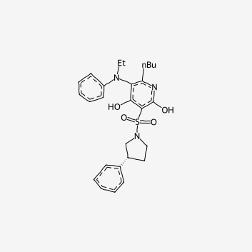 CCCCc1nc(O)c(S(=O)(=O)N2CC[C@H](c3ccccc3)C2)c(O)c1N(CC)c1ccccc1